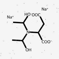 CC(O)N(C(C)O)C(CC(=O)[O-])C(=O)[O-].[Na+].[Na+]